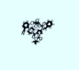 CC(C)(C)OC(=O)N1C[C@@H](N(Cc2ccccc2)C(=O)OCC(Cl)(Cl)Cl)C[C@H]1C(=O)N1CCN(c2ccccc2C#N)CC1